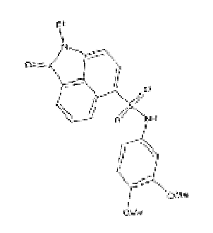 CCN1C(=O)c2cccc3c(S(=O)(=O)Nc4ccc(OC)c(OC)c4)ccc1c23